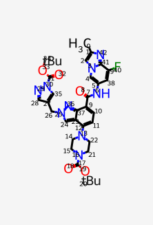 Cc1cn2cc(NC(=O)c3ccc(N4CCN(C(=O)OC(C)(C)C)CC4)c4cn(Cc5cnn(C(=O)OC(C)(C)C)c5)nc34)cc(F)c2n1